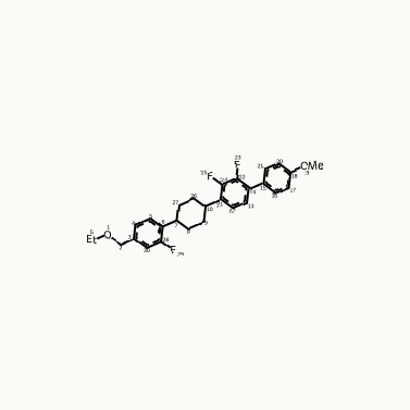 CCOCc1ccc(C2CCC(c3ccc(-c4ccc(OC)cc4)c(F)c3F)CC2)c(F)c1